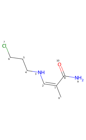 C/C(=C/NCCCCl)C(N)=O